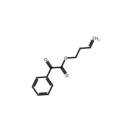 C=CCCOC(=O)C(=O)c1ccccc1